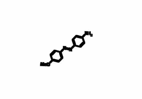 COc1ccc(N=Nc2ccc(N)cc2)cc1